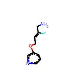 NC/C(F)=C/COc1cccnc1